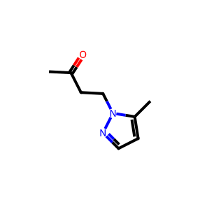 CC(=O)CCn1nccc1C